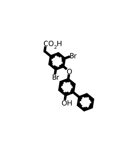 O=C(O)Cc1cc(Br)c(Oc2ccc(O)c(-c3ccccc3)c2)c(Br)c1